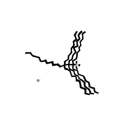 CCCCCCCCCCCC(CCCCCCCCCC)(CCCCCCCCCC)C(CCCCCCCCCC)(CCCCCCCCCC)C(CCCCCCCCCC)(CCCCCCCCCC)[N+](C)(C)C.[Br-]